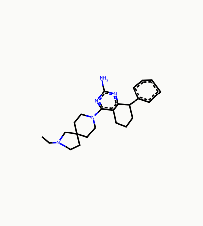 CCN1CCC2(CCN(c3nc(N)nc4c3CCCC4c3ccccc3)CC2)C1